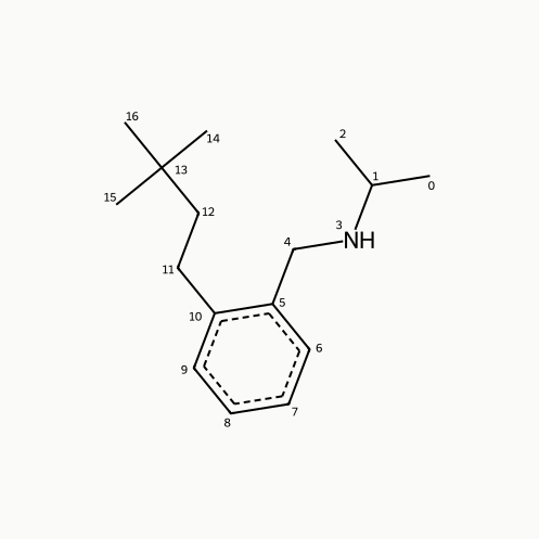 CC(C)NCc1ccccc1CCC(C)(C)C